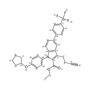 CCOC(=O)c1c(CCC#N)c2cc(-c3ccc(C(F)(F)F)cc3)ccc2n1-c1ccc(OC2CCCC2)cc1